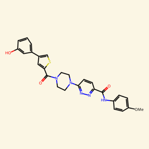 COc1ccc(NC(=O)c2ccc(N3CCN(C(=O)c4cc(-c5cccc(O)c5)cs4)CC3)nn2)cc1